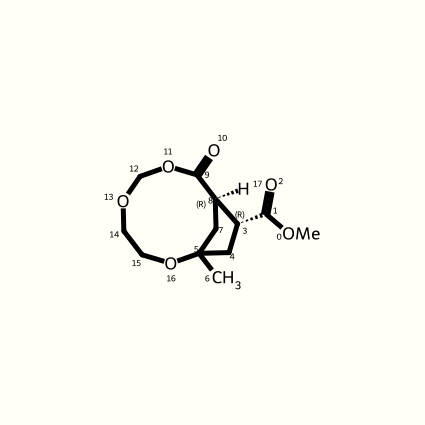 COC(=O)[C@@H]1CC2(C)C[C@H]1C(=O)OCOCCO2